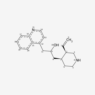 C=C[C@H]1CNCC[C@H]1CC(O)Cc1ccnc2ccccc12